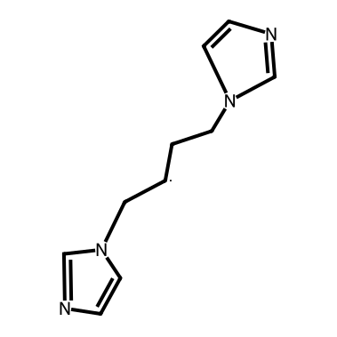 [CH](CCn1ccnc1)Cn1ccnc1